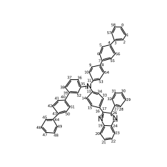 c1ccc(-c2ccc(-c3ccc(N(c4ccc(-c5nc6ccccc6nc5-c5ccccc5)cc4)c4cccc(-c5ccc(-c6ccccc6)cc5)c4)cc3)cc2)cc1